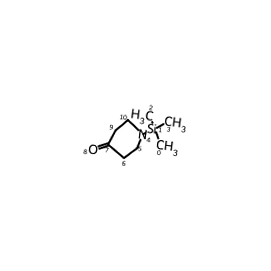 C[Si](C)(C)N1CCC(=O)CC1